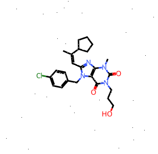 CC(=Cc1nc2c(c(=O)n(CCCO)c(=O)n2C)n1Cc1ccc(Cl)cc1)C1CCCC1